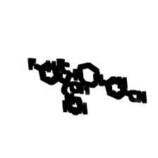 CC(N1CCCN(c2ccc(C#N)nc2)CC1)C(O)(Cn1cncn1)c1ccc(F)cc1F